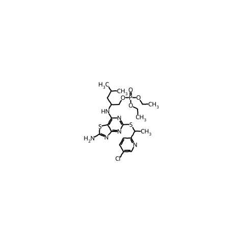 CCOP(=O)(OCC)OCC(CC(C)C)Nc1nc(SC(C)c2ccc(Cl)cn2)nc2nc(N)sc12